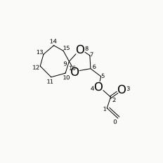 C=CC(=O)OCC1COC2(CCCCCC2)O1